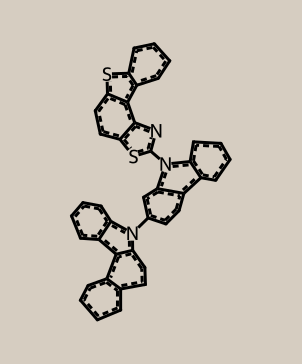 c1ccc2c(c1)ccc1c2c2ccccc2n1-c1ccc2c3ccccc3n(-c3nc4c(ccc5sc6ccccc6c54)s3)c2c1